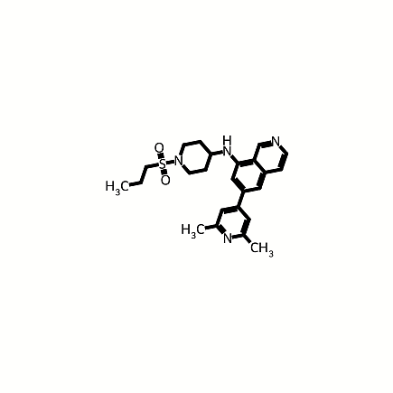 CCCS(=O)(=O)N1CCC(Nc2cc(-c3cc(C)nc(C)c3)cc3ccncc23)CC1